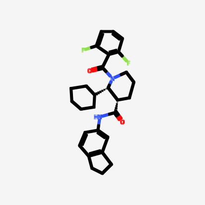 O=C(Nc1ccc2c(c1)CCC2)[C@H]1CCCN(C(=O)c2c(F)cccc2F)[C@H]1C1CCCCC1